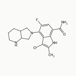 Cc1[nH]c2c(C(N)=O)cc(F)c(N3CC4CCCNC4C3)c2c1Cl